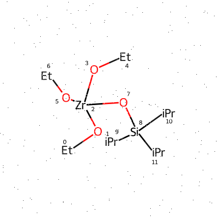 CC[O][Zr]([O]CC)([O]CC)[O][Si](C(C)C)(C(C)C)C(C)C